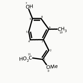 COC(=Cc1ccc(O)cc1C)C(=O)O